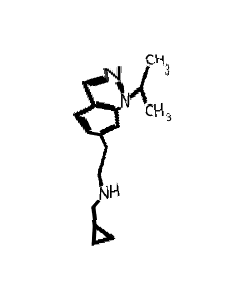 CC(C)n1ncc2ccc(CCNCC3CC3)cc21